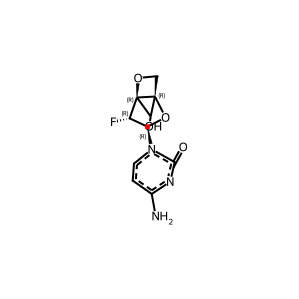 Nc1ccn([C@@H]2O[C@@]34CO[C@@]3(C4O)[C@H]2F)c(=O)n1